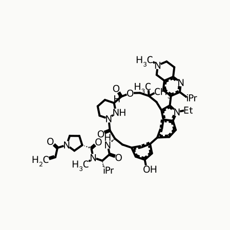 C=CC(=O)N1CC[C@H](C(=O)N(C)[C@H](C(=O)N[C@H]2Cc3cc(O)cc(c3)-c3ccc4c(c3)c(c(-c3cc5c(nc3C(C)C)CCN(C)C5)n4CC)CC(C)(C)COC(=O)[C@@H]3CCCN(N3)C2=O)C(C)C)C1